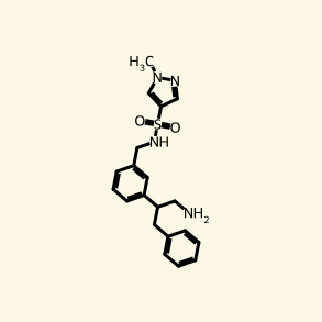 Cn1cc(S(=O)(=O)NCc2cccc(C(CN)Cc3ccccc3)c2)cn1